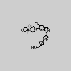 C[C@@]1(N2CCN(c3cc4c(cnn4-c4cnn(C56CC(CO)(C5)C6)c4)cc3Cl)CC2)COC[C@@H]1O